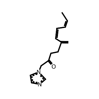 C=C(/C=C\C=C/C)CCC(=O)Cn1ccnc1